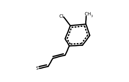 Cc1ccc(C=CC=S)cc1Cl